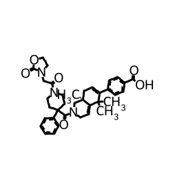 CC1(C)C(c2ccc(C(=O)O)cc2)=CC[C@]2(C)CN(C(=O)C3(c4ccccc4)CCN(C(=O)CN4CCOC4=O)CC3)CC=C12